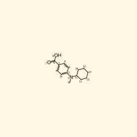 CN(c1ccc(C(=O)O)cc1)C1CCCCC1